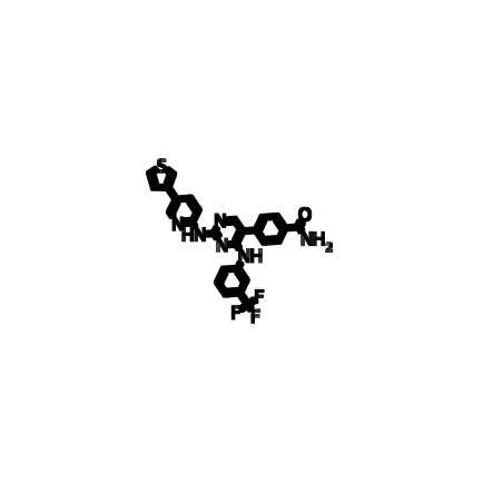 NC(=O)c1ccc(-c2cnc(Nc3ccc(-c4ccsc4)cn3)nc2Nc2cccc(C(F)(F)F)c2)cc1